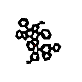 CC(C)(C)c1ccc(N(c2ccc3c(c2)N(c2ccccc2)c2cc(C(C)(C)C)cc4c2B3c2oc3c(c2N4c2ccccc2)CCCC3)c2ccc(-c3ccccc3)c3ccccc23)c(-c2ccccc2)c1